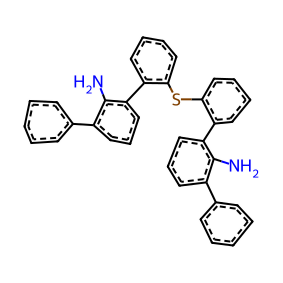 Nc1c(-c2ccccc2)cccc1-c1ccccc1Sc1ccccc1-c1cccc(-c2ccccc2)c1N